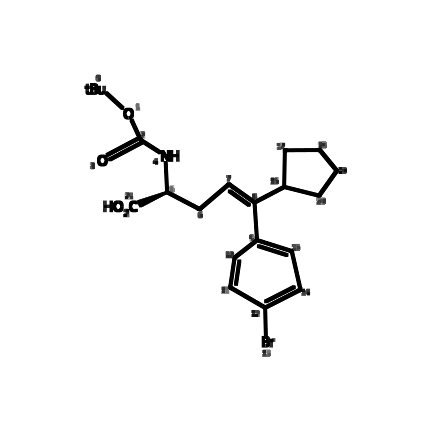 CC(C)(C)OC(=O)N[C@@H](C/C=C(\c1ccc(Br)cc1)C1CCCC1)C(=O)O